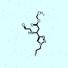 CCOC(=O)CC(NCC=O)c1cn(CCF)nn1